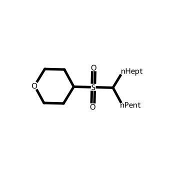 CCCCCCCC(CCCCC)S(=O)(=O)C1CCOCC1